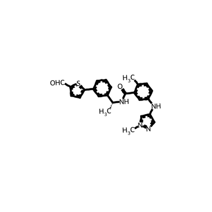 Cc1ccc(Nc2cnn(C)c2)cc1C(=O)N[C@H](C)c1cccc(-c2ccc(C=O)s2)c1